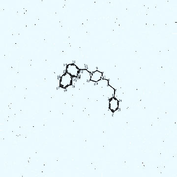 c1ccc(CCCN2CCN(Cc3ccc4ccccc4n3)CC2)cc1